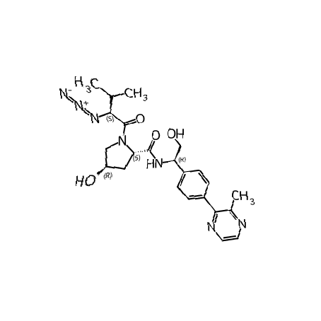 Cc1nccnc1-c1ccc([C@H](CO)NC(=O)[C@@H]2C[C@@H](O)CN2C(=O)[C@@H](N=[N+]=[N-])C(C)C)cc1